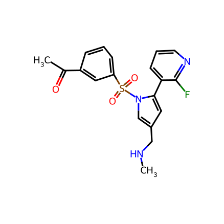 CNCc1cc(-c2cccnc2F)n(S(=O)(=O)c2cccc(C(C)=O)c2)c1